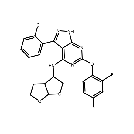 Fc1ccc(Oc2nc(NC3COC4OCCC34)c3c(-c4ccccc4Cl)n[nH]c3n2)c(F)c1